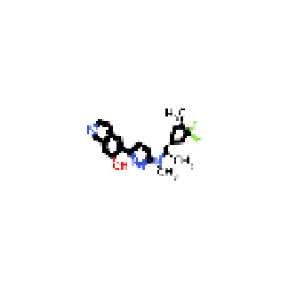 C[C@@H](C[C@@H]1C[C@H](C)C(F)(F)C1)N(C)c1ccc(-c2cc3ccncc3cc2O)nn1